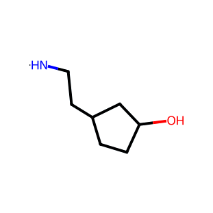 [NH]CCC1CCC(O)C1